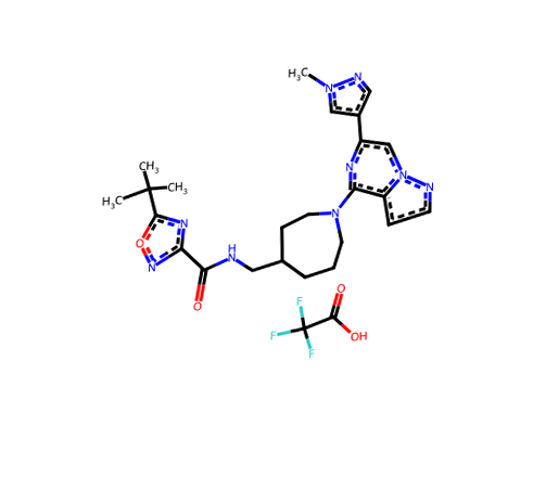 Cn1cc(-c2cn3nccc3c(N3CCCC(CNC(=O)c4noc(C(C)(C)C)n4)CC3)n2)cn1.O=C(O)C(F)(F)F